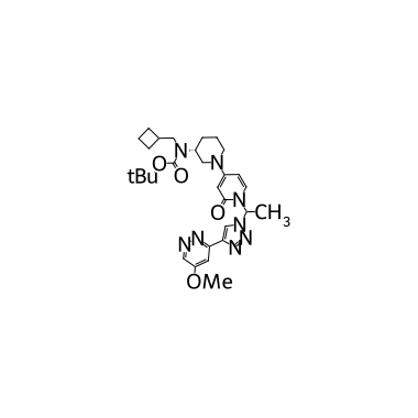 COc1cnnc(-c2cn(C(C)n3ccc(N4CCC[C@@H](N(CC5CCC5)C(=O)OC(C)(C)C)C4)cc3=O)nn2)c1